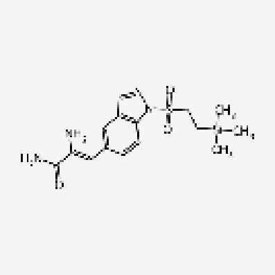 C[Si](C)(C)CCS(=O)(=O)n1ncc2cc(C=C(N)C(N)=O)ccc21